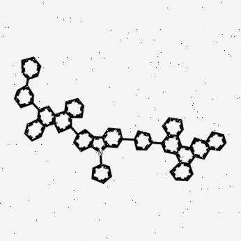 c1ccc(-c2cccc(-c3cc4c5ccccc5c(-c5ccc6c(c5)c5ccc(-c7ccc(-c8cc9c%10ccccc%10c%10cc%11ccccc%11cc%10c9c9ccccc89)cc7)cc5n6-c5ccccc5)cc4c4ccccc34)c2)cc1